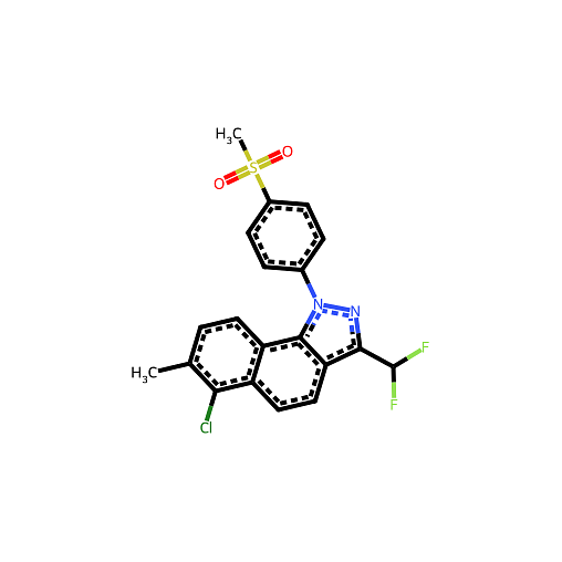 Cc1ccc2c(ccc3c(C(F)F)nn(-c4ccc(S(C)(=O)=O)cc4)c32)c1Cl